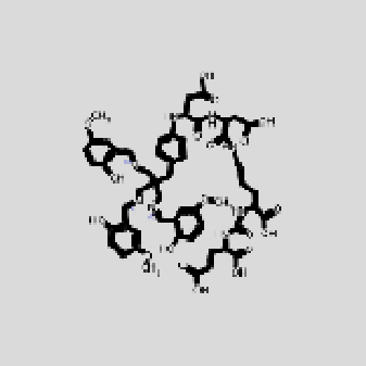 COc1ccc(O)c(/C=N\CC(C/N=C/c2cc(OC)ccc2O)(C/N=C/c2cc(OC)ccc2O)Cc2ccc(NC(CC(=O)O)C(=O)NC(CC(=O)O)C(=O)NCCCCC(NC(=O)NC(CCC(=O)O)C(=O)O)C(=O)O)cc2)c1